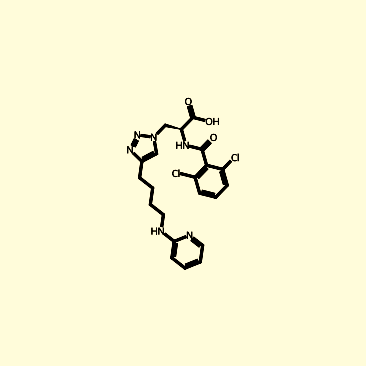 O=C(N[C@@H](Cn1cc(CCCCNc2ccccn2)nn1)C(=O)O)c1c(Cl)cccc1Cl